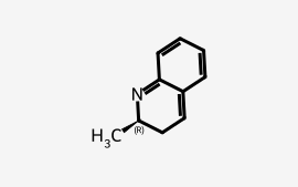 C[C@@H]1CC=c2ccccc2=N1